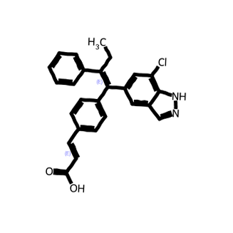 CC/C(=C(/c1ccc(/C=C/C(=O)O)cc1)c1cc(Cl)c2[nH]ncc2c1)c1ccccc1